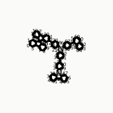 c1ccc2c(c1)-c1ccccc1C21c2ccccc2-c2ccc(-c3ccc(N(c4ccc(-c5ccc(-n6c7ccccc7c7ccccc76)cc5)cc4)c4ccc(-c5cccc6ccccc56)cc4)cc3)cc21